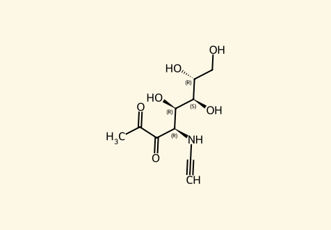 C#CN[C@@H](C(=O)C(C)=O)[C@@H](O)[C@H](O)[C@H](O)CO